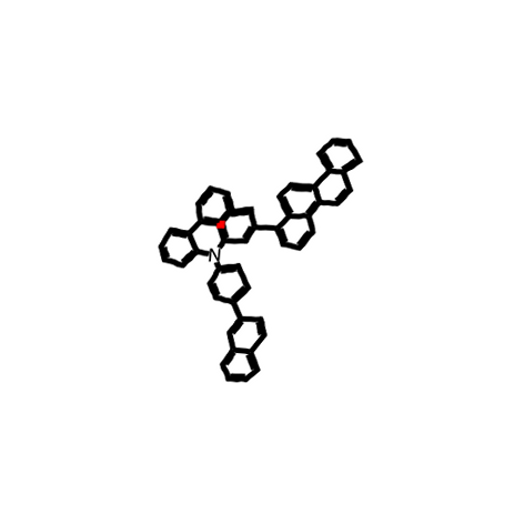 c1ccc(-c2ccccc2N(c2ccc(-c3ccc4ccccc4c3)cc2)c2cccc(-c3cccc4c3ccc3c5ccccc5ccc43)c2)cc1